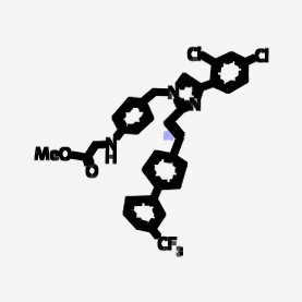 COC(=O)CNc1ccc(Cn2cc(-c3ccc(Cl)cc3Cl)nc2/C=C/c2ccc(-c3cccc(C(F)(F)F)c3)cc2)cc1